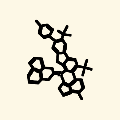 Cc1ccc(-c2cc3c(cc2C(C)(C)C)-c2cc(C(C)(C)C)c(-c4ccc(C)cc4)[c]([Zr]([C]4=CC=CC4)=[C](Cc4ccccc4)Cc4ccccc4)c2C3)cc1